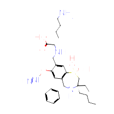 CCCC[C@]1(CC)CS(O)(O)c2cc(CN[C@@H](CCCCN)C(=O)O)c(OC)cc2[C@@H](c2ccccc2)N1.N.N